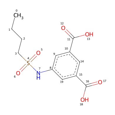 CCCCS(=O)(=O)Nc1cc(C(=O)O)cc(C(=O)O)c1